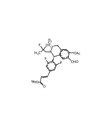 COC(=O)/C=C/c1cc(F)c([C@@H]2c3cc(C=O)c(OC(C)=O)cc3C[C@@H](C)N2CC(C)(C)F)c(F)c1